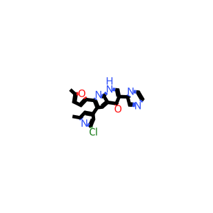 Cc1cc(-c2cc3c(=O)c(-c4cnccn4)c[nH]c3nc2-c2ccc(C)o2)cc(Cl)n1